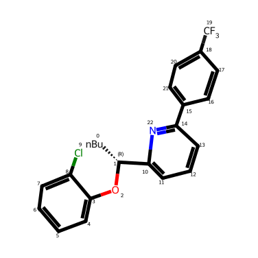 CCCC[C@@H](Oc1cc[c]cc1Cl)c1cccc(-c2ccc(C(F)(F)F)cc2)n1